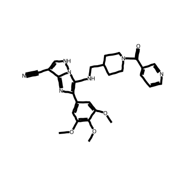 COc1cc(-c2nc3c(C#N)c[nH]n3c2NCC2CCN(C(=O)c3cccnc3)CC2)cc(OC)c1OC